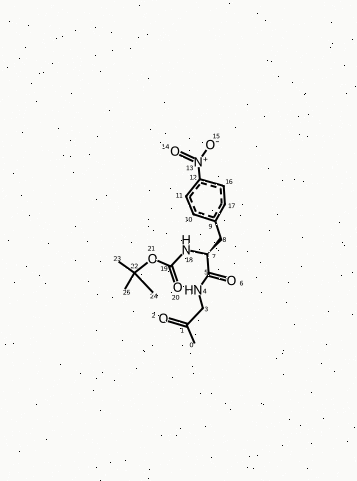 CC(=O)CNC(=O)[C@H](Cc1ccc([N+](=O)[O-])cc1)NC(=O)OC(C)(C)C